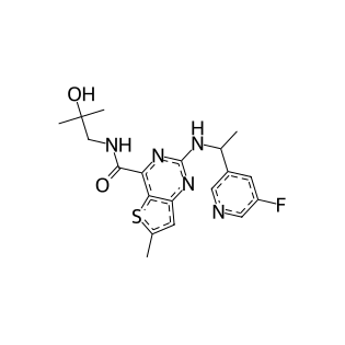 Cc1cc2nc(NC(C)c3cncc(F)c3)nc(C(=O)NCC(C)(C)O)c2s1